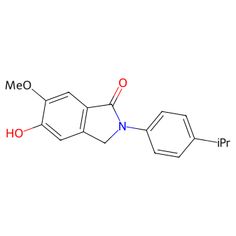 COc1cc2c(cc1O)CN(c1ccc(C(C)C)cc1)C2=O